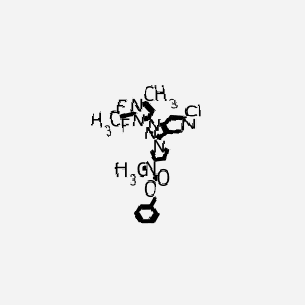 Cc1cc(-n2nc(N3CCC(N(C)C(=O)OCc4ccccc4)C3)c3cnc(Cl)cc32)nc(C(C)(F)F)n1